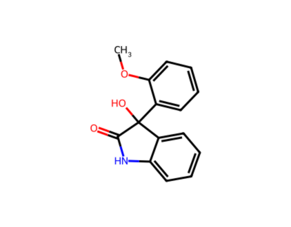 COc1ccccc1C1(O)C(=O)Nc2ccccc21